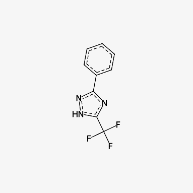 FC(F)(F)c1nc(-c2ccccc2)n[nH]1